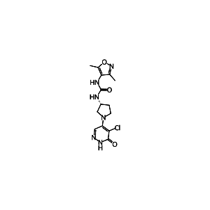 Cc1noc(C)c1NC(=O)N[C@@H]1CCN(c2cn[nH]c(=O)c2Cl)C1